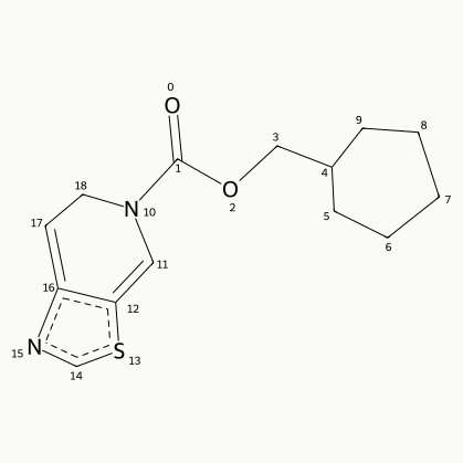 O=C(OCC1CCCCC1)N1C=c2scnc2=CC1